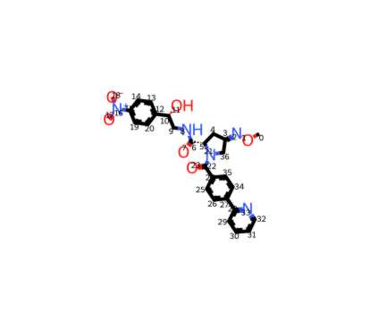 CON=C1C[C@@H](C(=O)NC[C@@H](O)c2ccc([N+](=O)[O-])cc2)N(C(=O)c2ccc(-c3ccccn3)cc2)C1